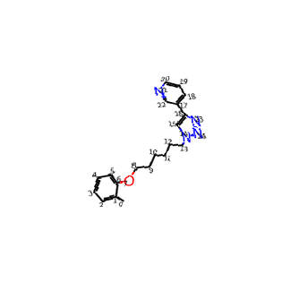 Cc1ccccc1OCCCCCCn1cc(-c2cccnc2)nn1